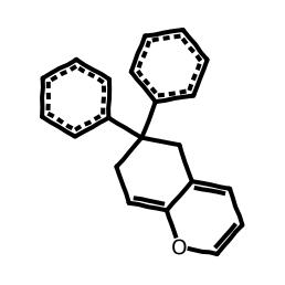 C1=COC2=CCC(c3ccccc3)(c3ccccc3)CC2=C1